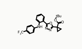 CC(C)(C)OC(=O)C1(c2nnc(-c3ccccc3Nc3ccc(C(F)(F)F)cc3)o2)CC1